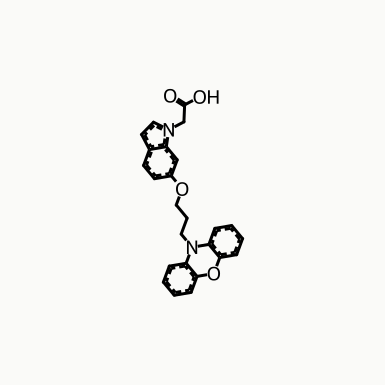 O=C(O)Cn1ccc2ccc(OCCCN3c4ccccc4Oc4ccccc43)cc21